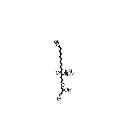 NNC(CCCOCC(O)C#P=O)C(=O)CCCCCCCCCC#P=O